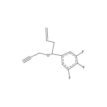 C#CCOC(CC=C)c1cc(F)c(F)c(F)c1